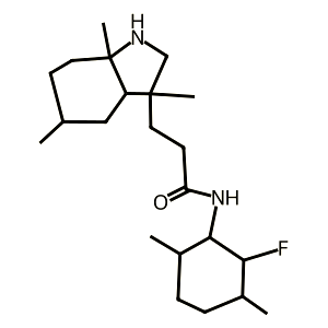 CC1CCC2(C)NCC(C)(CCC(=O)NC3C(C)CCC(C)C3F)C2C1